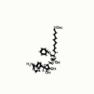 CCCCCCCCCCCCCCCCCCCC[C@H](COc1ccccc1)OP(=O)(O)OC[C@H]1O[C@@](C)(c2ccc3c(N)ncnn23)[C@H](O)[C@@H]1O